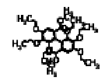 CCOc1cc(C(=O)OC)c(-c2c(C(=O)OC)cc(OCC)c(OCC)c2OCC)c(OCC)c1OCC